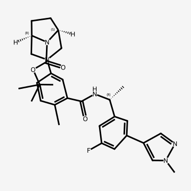 Cc1ccc(N2C[C@H]3CC[C@@H](C2)N3C(=O)OC(C)(C)C)cc1C(=O)N[C@H](C)c1cc(F)cc(-c2cnn(C)c2)c1